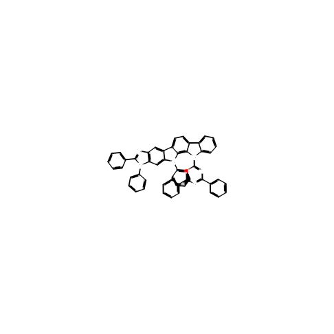 c1ccc(-c2nc(-c3ccccc3)nc(-n3c4ccccc4c4ccc5c6cc7nc(-c8ccccc8)n(-c8ccccc8)c7cc6n(-c6ccccc6)c5c43)n2)cc1